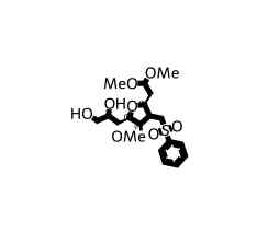 COC(C[C@@H]1O[C@H](CC(O)CO)[C@H](OC)C1CS(=O)(=O)c1ccccc1)OC